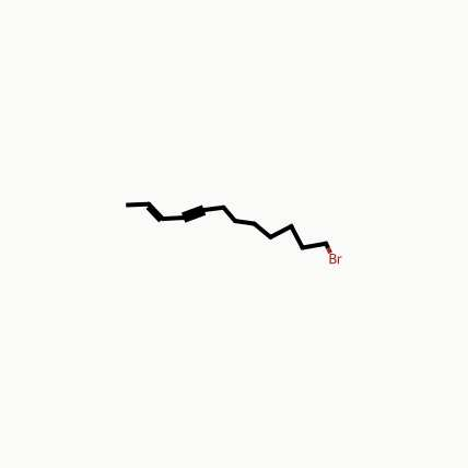 CC=CC#CCCCCCCCBr